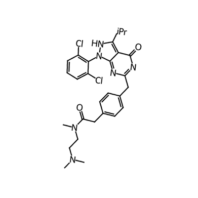 CC(C)c1[nH]n(-c2c(Cl)cccc2Cl)c2nc(Cc3ccc(CC(=O)N(C)CCN(C)C)cc3)nc(=O)c1-2